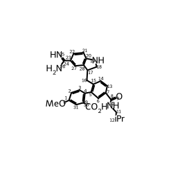 COc1ccc(-c2cc(C(=O)NCC(C)C)ccc2CC2CNc3ccc(C(=N)N)cc32)c(C(=O)O)c1